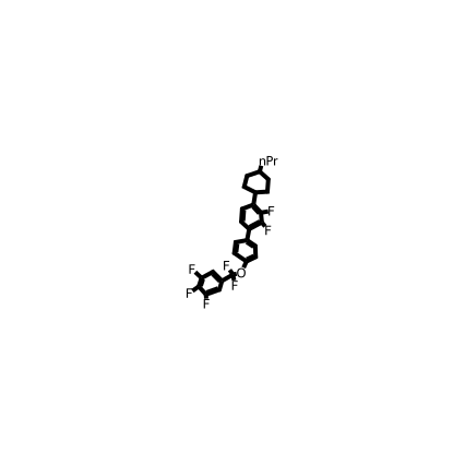 CCCC1CCC(c2ccc(-c3ccc(OC(F)(F)c4cc(F)c(F)c(F)c4)cc3)c(F)c2F)CC1